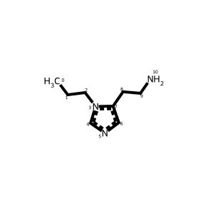 CCCn1cncc1CCN